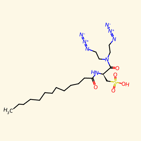 CCCCCCCCCCCCC(=O)N[C@H](CS(=O)(=O)O)C(=O)N(CCN=[N+]=[N-])CCN=[N+]=[N-]